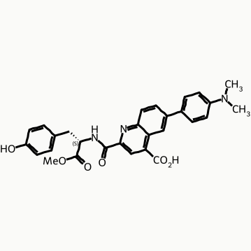 COC(=O)[C@H](Cc1ccc(O)cc1)NC(=O)c1cc(C(=O)O)c2cc(-c3ccc(N(C)C)cc3)ccc2n1